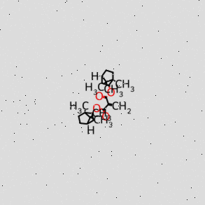 C=C(C(=O)OC1C[C@H]2CC[C@@]1(C)C2(C)C)C(=O)OC1C[C@H]2CC[C@@]1(C)C2(C)C